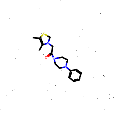 CC1=C(C)N(CC(=O)N2CCN(c3ccccc3)CC2)CS1